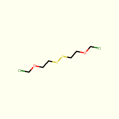 ClCOCCSSCCOCCl